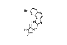 CC1=CN(Cc2nc3cnc4ccc(Br)cc4c3[nH]2)NN1